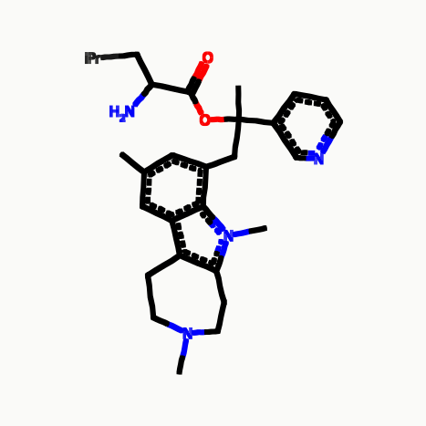 Cc1cc(CC(C)(OC(=O)C(N)CC(C)C)c2cccnc2)c2c(c1)c1c(n2C)CCN(C)CC1